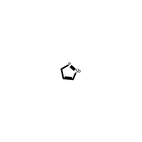 C1=[CH][Sb]=[P]C1